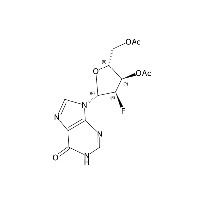 CC(=O)OC[C@H]1O[C@@H](n2cnc3c(=O)[nH]cnc32)[C@H](F)[C@@H]1OC(C)=O